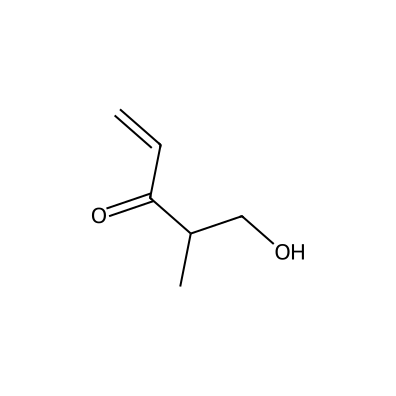 C=CC(=O)C(C)CO